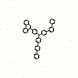 c1ccc(-c2ccc(-c3ccc(N(c4ccc(-c5cccc(-c6ccccc6)c5)cc4)c4ccc(-c5cc6ccccc6c6ccccc56)cc4)cc3)cc2)cc1